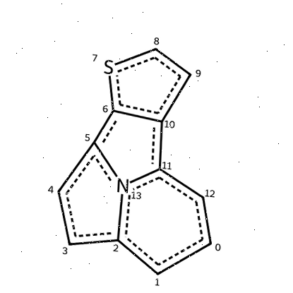 c1cc2ccc3c4sccc4c(c1)n23